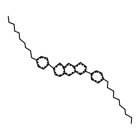 CCCCCCCCCCc1ccc(-c2ccc3cc4cc(-c5ccc(CCCCCCCCCC)cc5)ccc4cc3c2)cc1